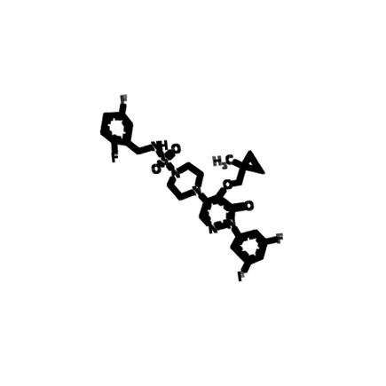 CC1(COc2c(N3CCN(S(=O)(=O)NCc4cc(F)ccc4F)CC3)cnn(-c3cc(F)cc(F)c3)c2=O)CC1